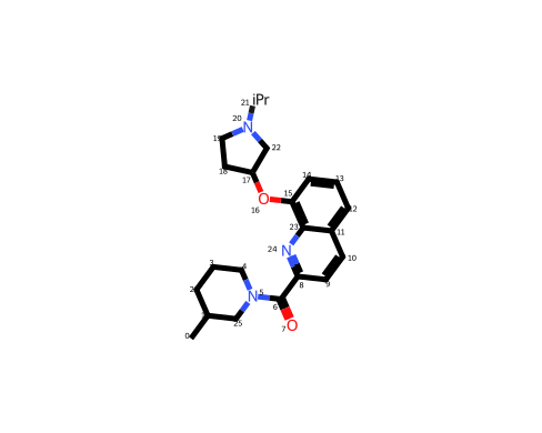 CC1CCCN(C(=O)c2ccc3cccc(OC4CCN(C(C)C)C4)c3n2)C1